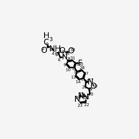 CC(=O)NC[C@H]1CN(c2ccc(-c3ccc(C4=NOC(Cn5ccnn5)C4)cc3)c(F)c2)C(=O)O1